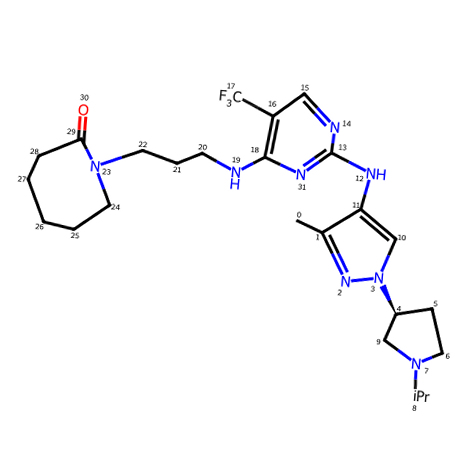 Cc1nn([C@H]2CCN(C(C)C)C2)cc1Nc1ncc(C(F)(F)F)c(NCCCN2CCCCCC2=O)n1